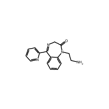 NCCN1C(=O)CN=C(c2ccccn2)c2ccccc21